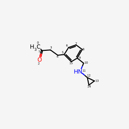 CC(=O)CCc1cccc(CNC2CC2)c1